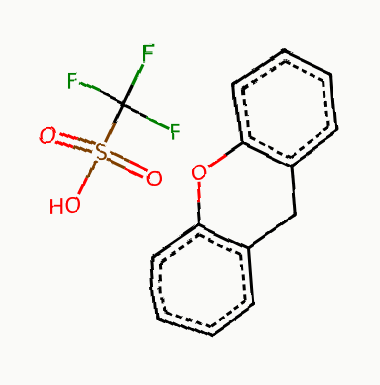 O=S(=O)(O)C(F)(F)F.c1ccc2c(c1)Cc1ccccc1O2